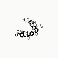 COC(=O)c1ccc(CNC(=O)c2ccc(-n3c(=O)ccc4c(C)nc(Sc5nc(C)c[nH]5)nc43)cc2)cc1